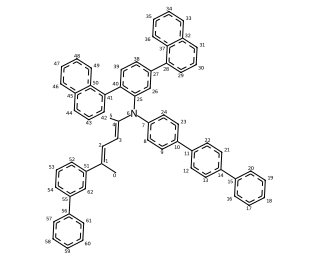 C/C(=C\C=C(/C)N(c1ccc(-c2ccc(-c3ccccc3)cc2)cc1)c1cc(-c2cccc3ccccc23)ccc1-c1cccc2ccccc12)c1cccc(-c2ccccc2)c1